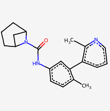 Cc1ccc(NC(=O)N2C3CCCC2C3)cc1-c1cccnc1C